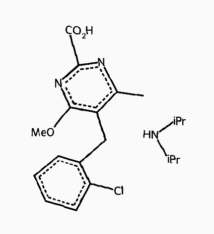 CC(C)NC(C)C.COc1nc(C(=O)O)nc(C)c1Cc1ccccc1Cl